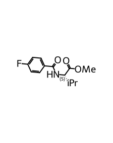 COC(=O)[C@@H](NC(=O)c1ccc(F)cc1)C(C)C